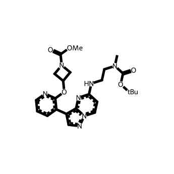 COC(=O)N1CC(Oc2ncccc2-c2cnn3ccc(NCCN(C)C(=O)OC(C)(C)C)nc23)C1